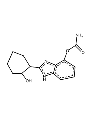 NC(=O)Oc1cccc2[nH]c(C3CCCCC3O)nc12